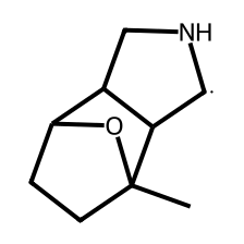 CC12CCC(O1)C1CN[CH]C12